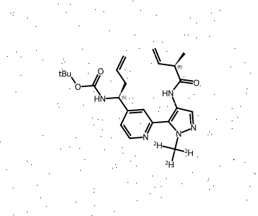 [2H]C([2H])([2H])n1ncc(NC(=O)[C@H](C)C=C)c1-c1cc([C@H](CC=C)NC(=O)OC(C)(C)C)ccn1